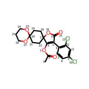 CC(=O)OC1=C(c2ccc(Cl)cc2Cl)C(=O)OC12CCC1(CC2)OCCCO1